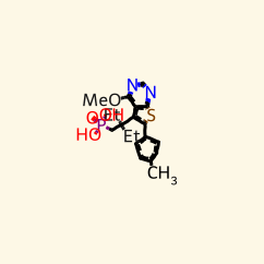 CCC(CC)(CP(=O)(O)O)c1c(-c2ccc(C)cc2)sc2ncnc(OC)c12